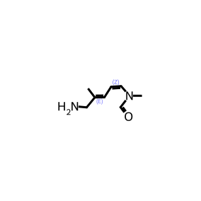 C/C(=C\C=C/N(C)C=O)CN